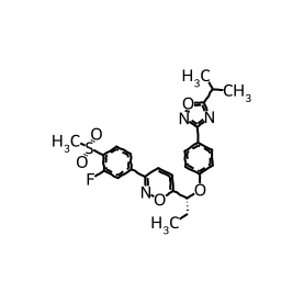 CC[C@@H](Oc1ccc(-c2noc(C(C)C)n2)cc1)C1=C=CC(c2ccc(S(C)(=O)=O)c(F)c2)=NO1